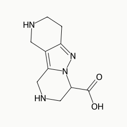 O=C(O)C1CNCc2c3c(nn21)CCNC3